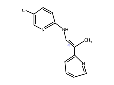 C/C(=N\Nc1ccc(Cl)cn1)c1ccccn1